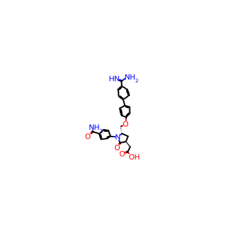 N=C(N)c1ccc(-c2ccc(OC[C@@H]3C[C@@H](CC(=O)O)C(=O)N3c3ccc(C(N)=O)cc3)cc2)cc1